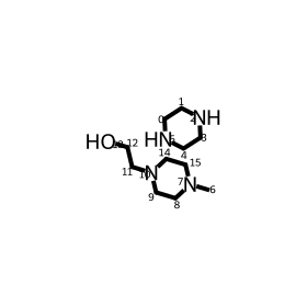 C1CNCCN1.CN1CCN(CCO)CC1